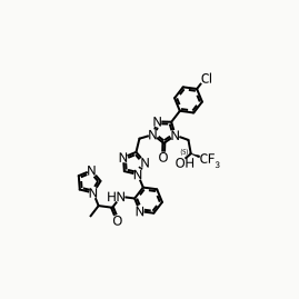 CC(C(=O)Nc1ncccc1-n1cnc(Cn2nc(-c3ccc(Cl)cc3)n(C[C@H](O)C(F)(F)F)c2=O)n1)n1ccnc1